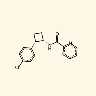 O=C(N[C@H]1CC[C@H]1c1ccc(Cl)cc1)c1ncccn1